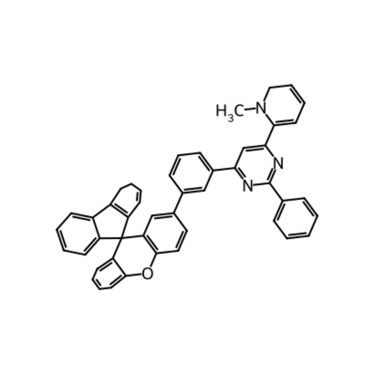 CN1CC=CC=C1c1cc(-c2cccc(-c3ccc4c(c3)C3(C5=C(CCC=C5)c5ccccc53)c3ccccc3O4)c2)nc(-c2ccccc2)n1